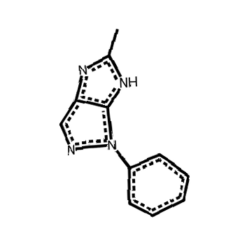 Cc1nc2cnn(-c3ccccc3)c2[nH]1